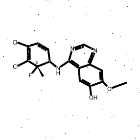 COc1cc2ncnc(NC3C=CC(Cl)=C(Cl)[C@@]3(C)F)c2cc1O